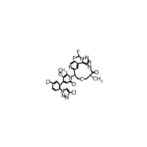 COc1cn([C@@H]2CCC[C@H](C)C(=O)Nc3cnn(C(F)F)c3-c3ccnc2c3)c(=O)cc1-c1cc(Cl)ccc1-n1cc(Cl)nn1